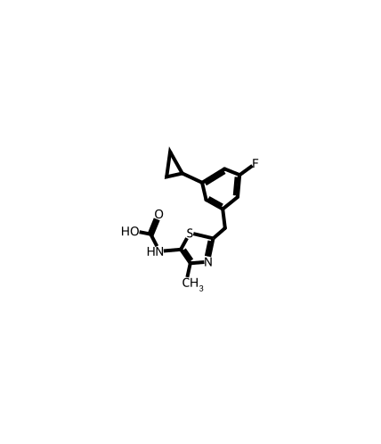 Cc1nc(Cc2cc(F)cc(C3CC3)c2)sc1NC(=O)O